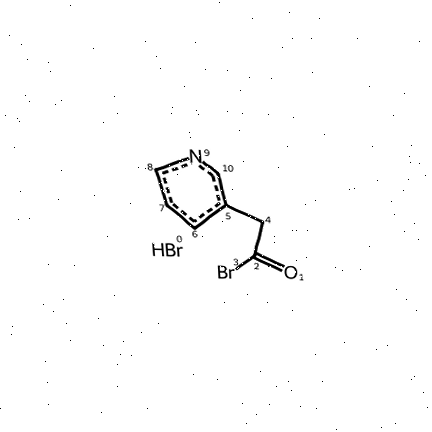 Br.O=C(Br)Cc1cccnc1